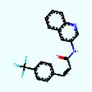 O=C(/C=C\c1ccc(C(F)(F)F)cc1)Nc1cnc2ccccc2c1